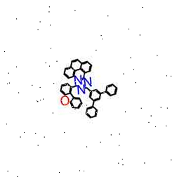 c1ccc(-c2cc(-c3ccccc3)cc(-c3nc(-c4cccc5ccc6ccccc6c45)nc(-c4cccc5oc6ccccc6c45)n3)c2)cc1